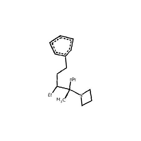 CCCC(C)(C(CC)CCc1ccccc1)N1CCC1